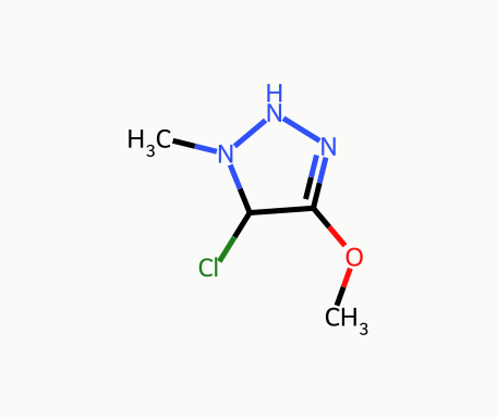 COC1=NNN(C)C1Cl